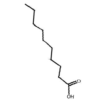 CCCCCC[CH]CCC(=O)O